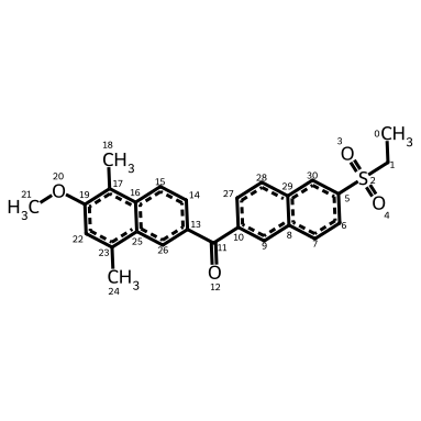 CCS(=O)(=O)c1ccc2cc(C(=O)c3ccc4c(C)c(OC)cc(C)c4c3)ccc2c1